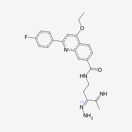 CCOc1cc(-c2ccc(F)cc2)nc2cc(C(=O)NCC/C(=N/N)C(C)=N)ccc12